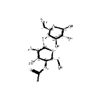 CC(=O)O[C@H]1[C@H](O)[C@@H](O)[C@H](O[C@H]2[C@H](O)[C@@H](O)[C@H](O)O[C@@H]2CO)O[C@@H]1CO